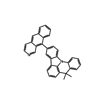 CC1(C)c2ccccc2-n2c3ccc(-c4c5ccccc5cc5ccncc45)cc3c3cccc1c32